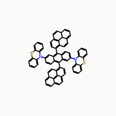 C1=CC2C=Cc3ccc(-c4c5cc(N6c7ccccc7Sc7ccccc76)ccc5c(-c5ccc6ccc7cccc8ccc5c6c78)c5cc(N6c7ccccc7Sc7ccccc76)ccc45)c4c3C2C(=C1)C=C4